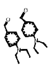 CCN(CC)c1ccc(C=O)cc1.CCN(CC)c1ccc(C=O)cc1